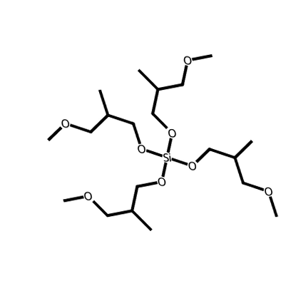 COCC(C)CO[Si](OCC(C)COC)(OCC(C)COC)OCC(C)COC